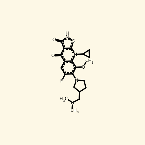 COc1c(N2CCC(CN(C)C)C2)c(F)cc2c(=O)c3c(=O)[nH]sc3n(C3CC3)c12